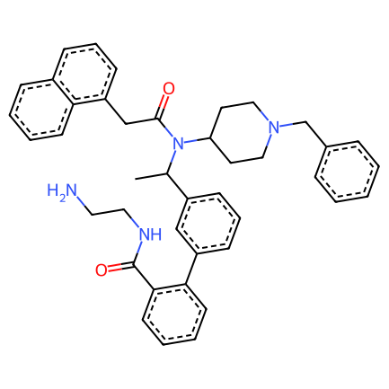 CC(c1cccc(-c2ccccc2C(=O)NCCN)c1)N(C(=O)Cc1cccc2ccccc12)C1CCN(Cc2ccccc2)CC1